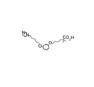 CC(C)(CCCCOc1cccc(OCCCCCn2ccnc2)c1)C(=O)O